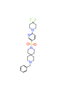 O=S(=O)(c1ccc(N2CCC(F)(F)CC2)nc1)N1CCC2(CCN(Cc3ccccc3)CC2)CC1